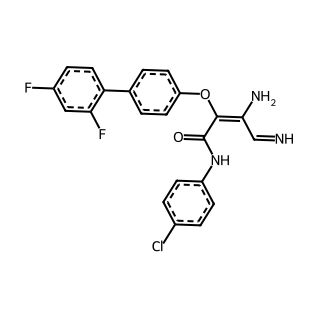 N=C/C(N)=C(/Oc1ccc(-c2ccc(F)cc2F)cc1)C(=O)Nc1ccc(Cl)cc1